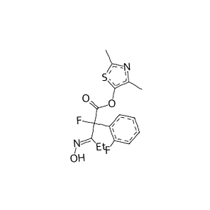 CCC(=NO)C(F)(C(=O)Oc1sc(C)nc1C)c1ccccc1F